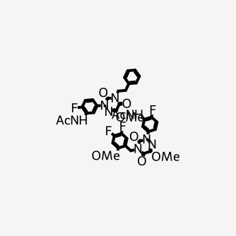 COc1cc(F)c(F)cc1Cn1c(=O)c(OC)nn(-c2ccc(F)c(NC(C)=O)c2)c1=O.COc1nn(-c2ccc(F)c(NC(C)=O)c2)c(=O)n(CCc2ccccc2)c1=O